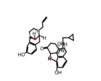 C=CCN1CC[C@]23CCCC[C@H]2[C@H]1Cc1ccc(O)cc13.O=C1CC[C@@]2(O)[C@H]3Cc4ccc(O)c5c4[C@@]2(CCN3CC2CC2)[C@H]1O5